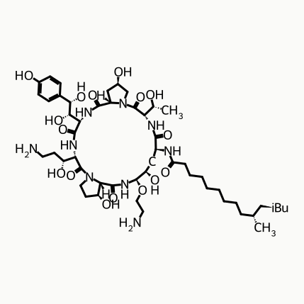 CC[C@H](C)C[C@H](C)CCCCCCCCC(=O)N[C@H]1C[C@@H](O)[C@@H](OCCN)NC(=O)[C@@H]2[C@@H](O)CCN2C(=O)[C@H]([C@H](O)CCN)NC(=O)[C@H]([C@H](O)[C@@H](O)c2ccc(O)cc2)NC(=O)[C@@H]2C[C@@H](O)CN2C(=O)[C@H]([C@@H](C)O)NC1=O